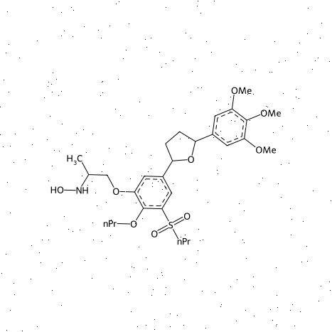 CCCOc1c(OCC(C)NO)cc(C2CCC(c3cc(OC)c(OC)c(OC)c3)O2)cc1S(=O)(=O)CCC